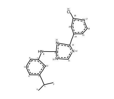 CC(C)c1cccc(Nc2ncnc(-c3ccnc(Cl)c3)n2)c1